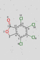 O=C1OCc2c(Cl)c(Cl)c(Cl)c(Cl)c21